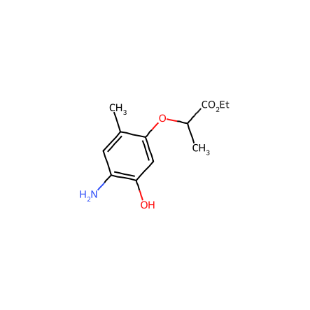 CCOC(=O)C(C)Oc1cc(O)c(N)cc1C